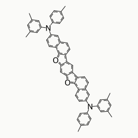 Cc1ccc(N(c2cc(C)cc(C)c2)c2ccc3c(ccc4c5cc6c(cc5oc34)oc3c4ccc(N(c5ccc(C)cc5)c5cc(C)cc(C)c5)cc4ccc63)c2)cc1